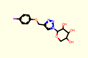 OC1COC(n2cc(COc3ccc(I)cc3)nn2)C(O)C1O